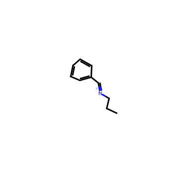 CCC/N=C/c1ccccc1